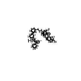 CCn1c(CCCc2cccc(-c3cccc(CN[S+]([O-])c4ccccc4)c3)c2)nn(Cc2ccc(C(C)(C)C)cc2)c1=O